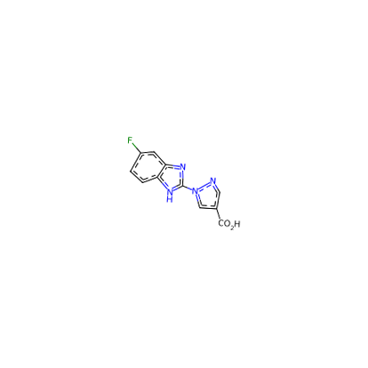 O=C(O)c1cnn(-c2nc3cc(F)ccc3[nH]2)c1